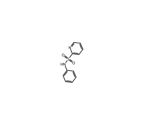 O=S(=O)(Nc1ccccc1)c1c[c]ccn1